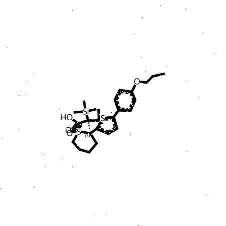 CCCOc1ccc(-c2ccc([C@@]3(C(CC)(C(=O)O)[Si](C)(C)C)CCCCS3(=O)=O)s2)cc1